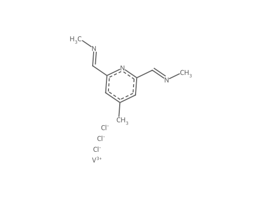 CN=Cc1cc(C)cc(C=NC)n1.[Cl-].[Cl-].[Cl-].[V+3]